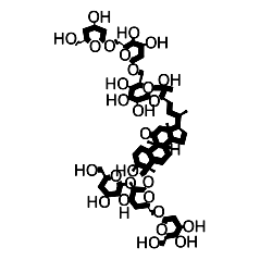 C[C@H](CC[C@@H](O[C@@H]1O[C@H](CO[C@H]2C[C@@H](O)[C@H](O)[C@@H](CO[C@H]3C[C@@H](O)C[C@@H](CO)O3)O2)[C@@H](O)[C@H](O)[C@H]1O)C(C)(C)O)[C@H]1CCC2[C@@H]3CC=C4C(CC[C@H](O)[C@@]4(C)CO[C@@H]4O[C@H](CO[C@H]5C[C@@H](O)[C@H](O)[C@@H](CO)O5)C[C@H](O)[C@H]4O[C@H]4C[C@@H](O)C[C@@H](CO)O4)[C@]3(C)C(=O)C[C@@]21C